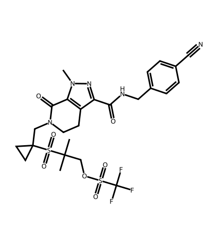 Cn1nc(C(=O)NCc2ccc(C#N)cc2)c2c1C(=O)N(CC1(S(=O)(=O)C(C)(C)COS(=O)(=O)C(F)(F)F)CC1)CC2